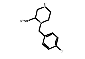 CCCCCC1CNCCN1Cc1ccc(Cl)cc1